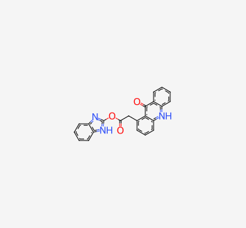 O=C(Cc1cccc2[nH]c3ccccc3c(=O)c12)Oc1nc2ccccc2[nH]1